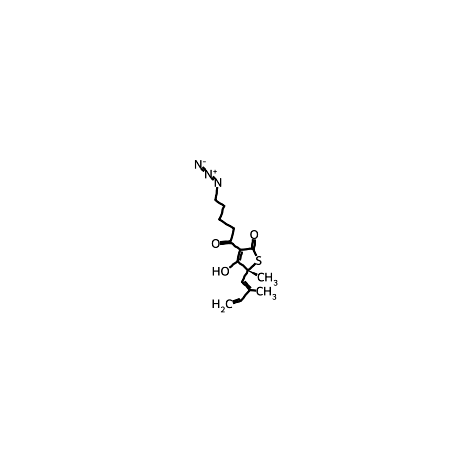 C=C/C(C)=C/[C@@]1(C)SC(=O)C(C(=O)CCCCN=[N+]=[N-])=C1O